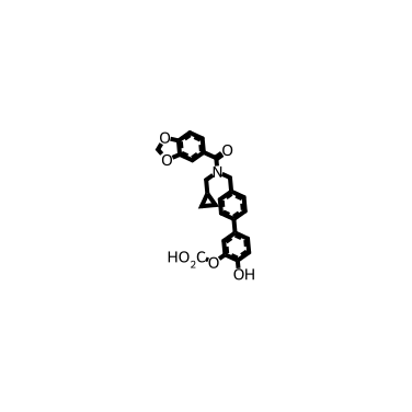 O=C(O)Oc1cc(-c2ccc(CN(CC3CC3)C(=O)c3ccc4c(c3)OCO4)cc2)ccc1O